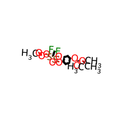 COOOSC(=C(F)F)S(=O)(=O)Oc1ccc(OC(=O)OC(C)(C)C)cc1